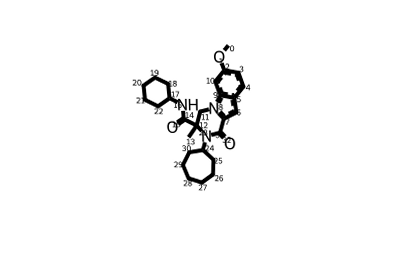 COc1ccc2cc3n(c2c1)CC(C)(C(=O)NC1CCCCC1)N(C1CCCCCC1)C3=O